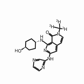 [2H]C([2H])([2H])n1ccc2cc(Nc3cnccn3)nc(N[C@H]3CC[C@H](O)CC3)c2c1=O